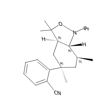 CC(C)N1OC(C)(C)[C@@H]2C[C@](C)(c3ccccc3C#N)C[C@H](C)[C@H]21